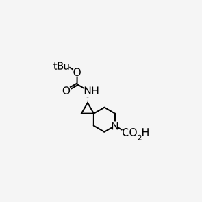 CC(C)(C)OC(=O)N[C@H]1CC12CCN(C(=O)O)CC2